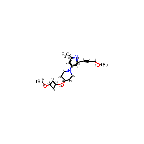 CC(C)(C)OCC#Cc1cc(N2CCC(OC3CC(OC(C)(C)C)C3)CC2)cc(C(F)(F)F)n1